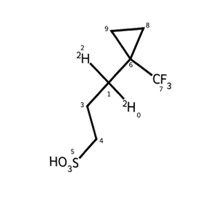 [2H]C([2H])(CCS(=O)(=O)O)C1(C(F)(F)F)CC1